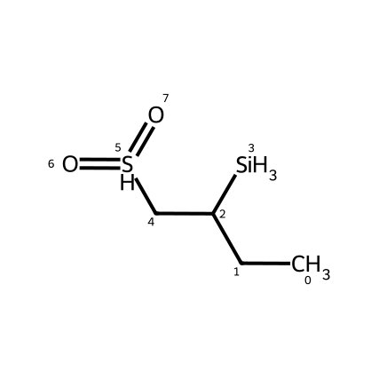 CCC([SiH3])C[SH](=O)=O